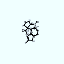 CC1=Cc2c(cccc2C2(C([NH])=O)CCCC2=[Si](C)C)C1